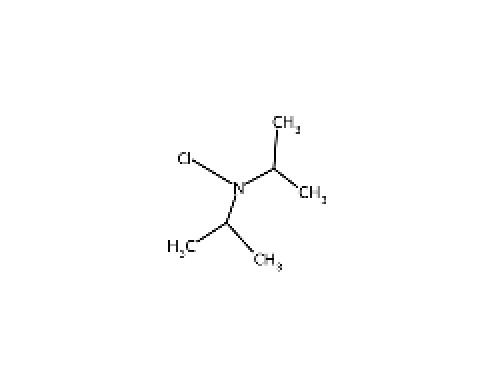 CC(C)N(Cl)C(C)C